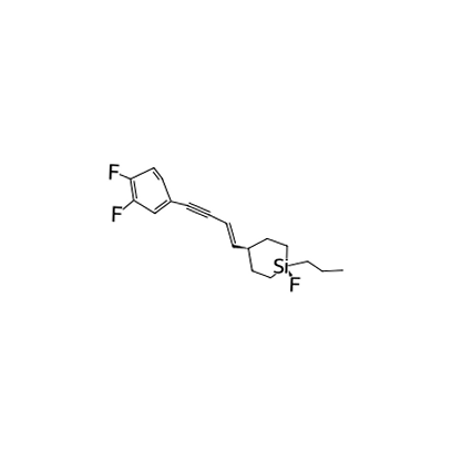 CCC[Si@]1(F)CC[C@@H](/C=C/C#Cc2ccc(F)c(F)c2)CC1